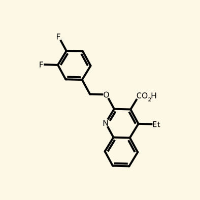 CCc1c(C(=O)O)c(OCc2ccc(F)c(F)c2)nc2ccccc12